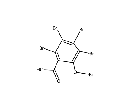 O=C(O)c1c(Br)c(Br)c(Br)c(Br)c1OBr